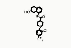 O=C(Nc1cccc2c1C[C@H](O)CC2)C1CCN(c2ccc(C(F)(F)F)cc2Cl)CC1